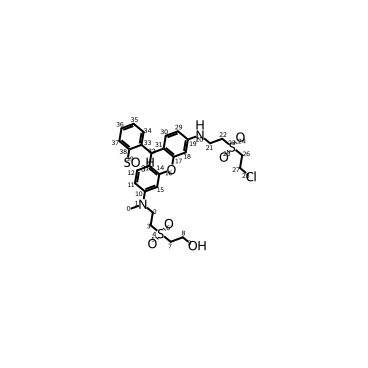 CN(CCS(=O)(=O)CCO)c1ccc2c(c1)Oc1cc(NCCS(=O)(=O)CCCl)ccc1C2c1ccccc1S(=O)(=O)O